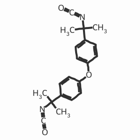 CC(C)(N=C=O)c1ccc(Oc2ccc(C(C)(C)N=C=O)cc2)cc1